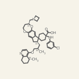 C[C@@H](COc1ccnc2c1[C@H](C)CCC2)C[C@H]1Cc2cc3c(cc2C12CCC(Nc1cccc(Cl)c1)(C(=O)O)CC2)O[C@H](CN1CCC1)CCO3